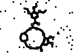 CCOc1cc(C(=O)OC2CCCOc3cc(cc(OC)c3OC)C(=O)OCCCN3CCCN(CC2)CC3)cc(OCC)c1OCC